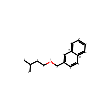 CC(C)CCOCc1ccc2ccccc2c1